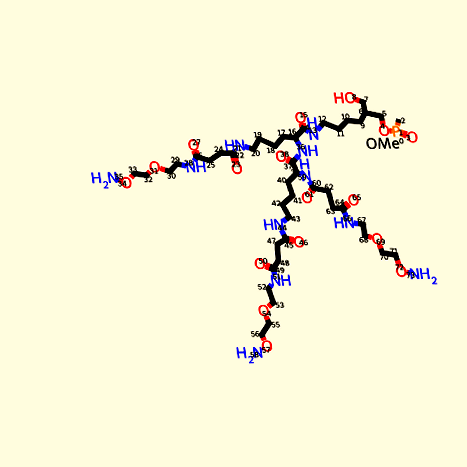 COP(C)(=O)OCC(CO)CCCCNC(=O)C(CCCCNC(=O)CCC(=O)NCCOCCON)NC(=O)C(CCCCNC(=O)CCC(=O)NCCOCCON)NC(=O)CCC(=O)NCCOCCON